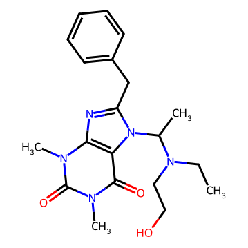 CCN(CCO)C(C)n1c(Cc2ccccc2)nc2c1c(=O)n(C)c(=O)n2C